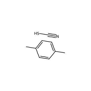 Cc1ccc(C)cc1.N#CS